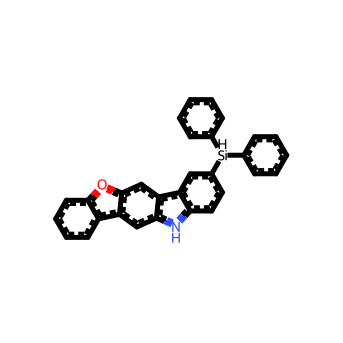 c1ccc([SiH](c2ccccc2)c2ccc3[nH]c4cc5c(cc4c3c2)oc2ccccc25)cc1